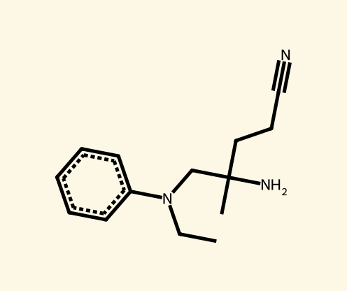 CCN(CC(C)(N)CCC#N)c1ccccc1